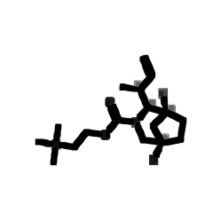 C=C[C@H](C)[C@H]1[C@@H]2CC[C@@H](C2)CN1C(=O)OCC[Si](C)(C)C